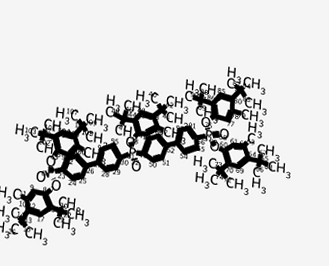 Cc1cc(OP(=O)(Oc2cc(C)c(C(C)(C)C)cc2C(C)(C)C)c2ccc(-c3ccc(P(=O)(Oc4cc(C)c(C(C)(C)C)cc4C(C)(C)C)c4ccc(-c5ccc(P(=O)(Oc6cc(C)c(C(C)(C)C)cc6C(C)(C)C)Oc6cc(C)c(C(C)(C)C)cc6C(C)(C)C)cc5)cc4)cc3)cc2)c(C(C)(C)C)cc1C(C)(C)C